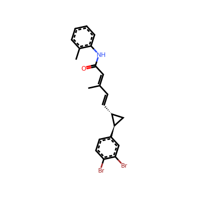 CC(/C=C/[C@@H]1C[C@H]1c1ccc(Br)c(Br)c1)=C\C(=O)Nc1ccccc1C